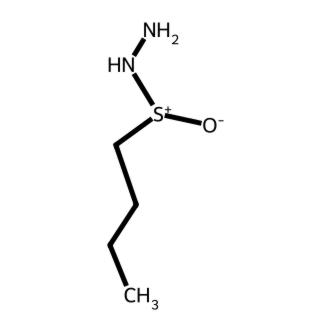 CCCC[S+]([O-])NN